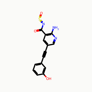 Nc1ncc(C#Cc2cccc(O)c2)cc1C(=O)N=S=O